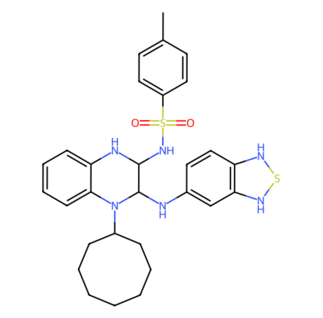 Cc1ccc(S(=O)(=O)NC2Nc3ccccc3N(C3CCCCCCC3)C2Nc2ccc3c(c2)NSN3)cc1